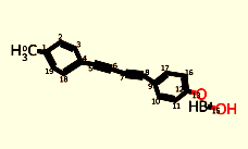 Cc1ccc(C#CC#Cc2ccc(OBO)cc2)cc1